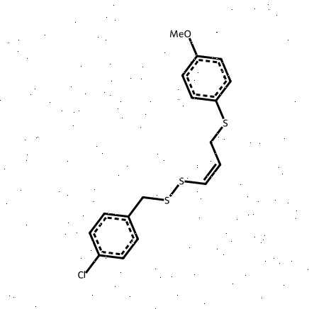 COc1ccc(SC/C=C\SSCc2ccc(Cl)cc2)cc1